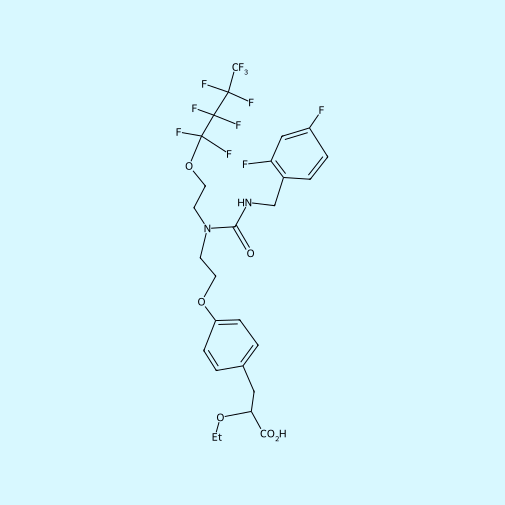 CCOC(Cc1ccc(OCCN(CCOC(F)(F)C(F)(F)C(F)(F)C(F)(F)F)C(=O)NCc2ccc(F)cc2F)cc1)C(=O)O